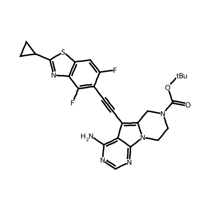 CC(C)(C)OC(=O)N1CCn2c(c(C#Cc3c(F)cc4sc(C5CC5)nc4c3F)c3c(N)ncnc32)C1